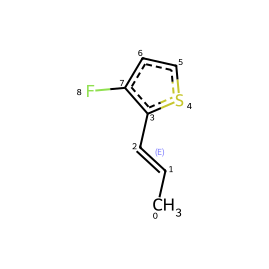 C/C=C/c1sccc1F